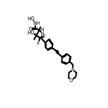 CC(NCc1ccc(C#Cc2ccc(CN3CCOCC3)cc2)cc1)(C(=O)NO)C(C)(O)C(F)F